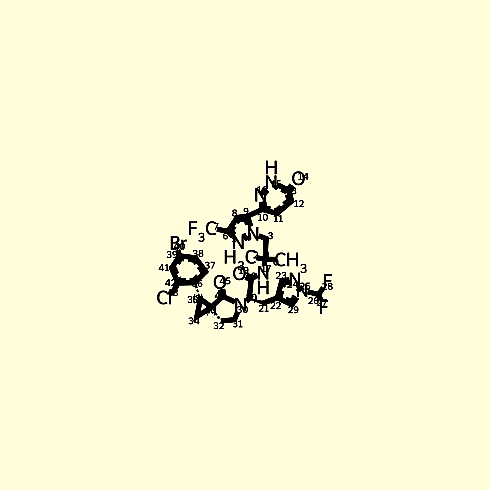 CC(C)(Cn1nc(C(F)(F)F)cc1-c1ccc(=O)[nH]n1)NC(=O)[C@@H](Cc1cnn(C(F)F)c1)N1CC[C@@]2(C[C@@H]2c2ccc(Br)cc2Cl)C1=O